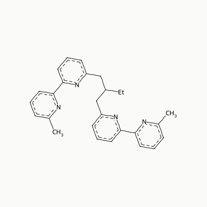 CCC(Cc1cccc(-c2cccc(C)n2)n1)Cc1cccc(-c2cccc(C)n2)n1